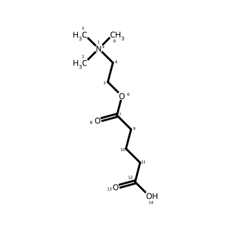 C[N+](C)(C)CCOC(=O)CCCC(=O)O